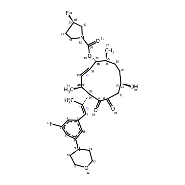 C/C(=C\c1cc(F)cc(N2CCOCC2)c1)[C@H]1C(=O)C(=O)C[C@H](O)CC[C@H](C)[C@@H](OC(=O)N2CC[C@@H](F)C2)/C=C/[C@@H]1C